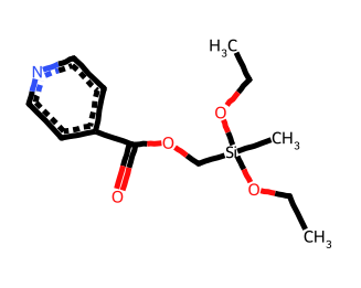 CCO[Si](C)(COC(=O)c1ccncc1)OCC